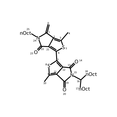 C=C1c2c(C)sc(-c3sc(C)c4c3C(=O)N(C(CCCCCCCC)CCCCCCCC)C4=O)c2C(=O)N1CCCCCCCC